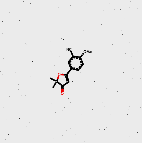 COc1ccc(C2=CC(=O)C(C)(C)O2)cc1C#N